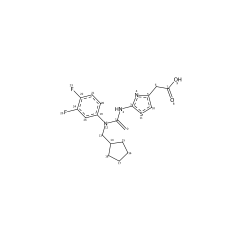 C=C(Nc1nc(CC(=O)O)cs1)N(CC1CCCC1)c1ccc(F)c(F)c1